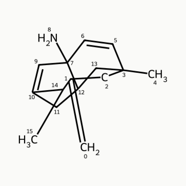 C=C1CC2(C)C=CC3(N)C=C(CC3C2)C1C